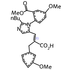 CCCCc1ncc(/C=C(\Cc2cccc(OC)c2)C(=O)O)n1-c1ccc(OC)cc1C(=O)OC